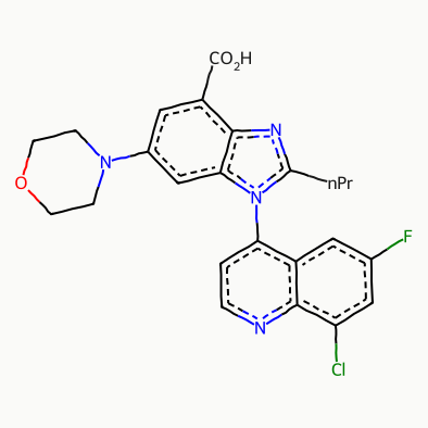 CCCc1nc2c(C(=O)O)cc(N3CCOCC3)cc2n1-c1ccnc2c(Cl)cc(F)cc12